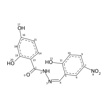 O=C(N/N=C\c1cc([N+](=O)[O-])ccc1O)c1ccc(O)cc1O